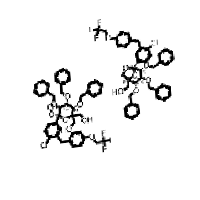 CO[C@@]1(c2ccc(Cl)c(Cc3ccc(OCC(F)(F)F)cc3)c2)OC(CO)(CO)[C@@H](OCc2ccccc2)[C@H](OCc2ccccc2)[C@H]1OCc1ccccc1.OC[C@@]12CO[C@@](c3ccc(Cl)c(Cc4ccc(OCC(F)(F)F)cc4)c3)(O1)[C@H](OCc1ccccc1)[C@@H](OCc1ccccc1)[C@@H]2OCc1ccccc1